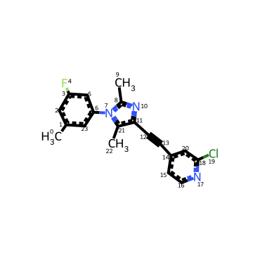 Cc1cc(F)cc(-n2c(C)nc(C#Cc3ccnc(Cl)c3)c2C)c1